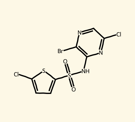 O=S(=O)(Nc1nc(Cl)cnc1Br)c1ccc(Cl)s1